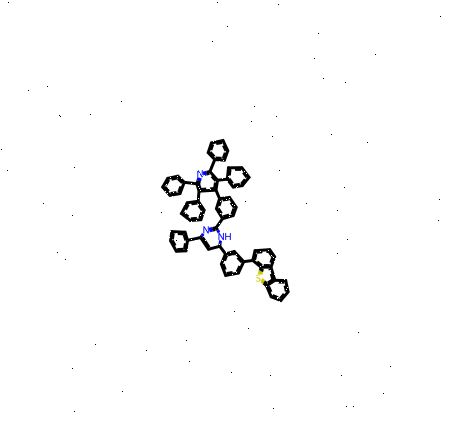 C1=C(c2ccccc2)N=C(c2cccc(-c3c(-c4ccccc4)c(-c4ccccc4)nc(-c4ccccc4)c3-c3ccccc3)c2)NC1c1cccc(-c2cccc3c2sc2ccccc23)c1